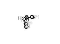 C1=C(c2ccc3[nH]nc(-c4cc5cccnc5[nH]4)c3n2)CCNC1